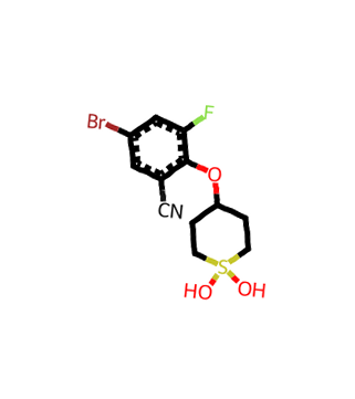 N#Cc1cc(Br)cc(F)c1OC1CCS(O)(O)CC1